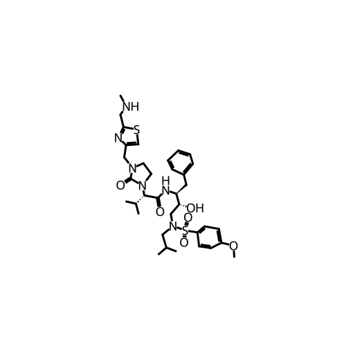 CNCc1nc(CN2CCN([C@H](C(=O)N[C@@H](Cc3ccccc3)[C@H](O)CN(CC(C)C)S(=O)(=O)c3ccc(OC)cc3)C(C)C)C2=O)cs1